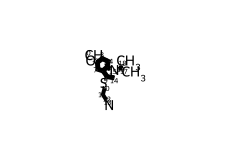 COc1ccc2c(c1)c(SCCC#N)cn2C(C)C